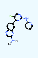 CCN(CC)c1cnc2ccc(-c3nc(Nc4cc[c]cn4)ncc3F)cc2n1